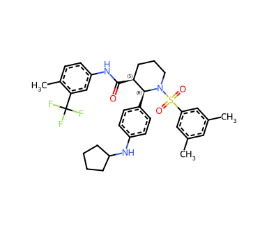 Cc1cc(C)cc(S(=O)(=O)N2CCC[C@H](C(=O)Nc3ccc(C)c(C(F)(F)F)c3)[C@@H]2c2ccc(NC3CCCC3)cc2)c1